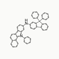 c1ccc(-n2c3cc(Nc4ccc5c(c4)C(c4ccccc4)(c4ccccc4)c4ccccc4-5)ccc3c3ccc4ccccc4c32)cc1